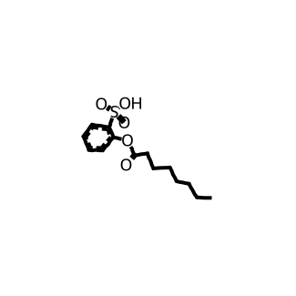 CCCCCCCC(=O)Oc1ccccc1S(=O)(=O)O